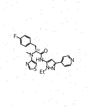 CCn1nc(-c2ccncc2)cc1NC(=O)[C@H](Cc1ccc(F)cc1)N(C)c1cscn1